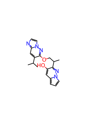 CC(C)c1cc2nccn2nc1OCC(C)c1nn2cccc2cc1O